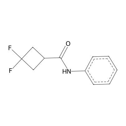 O=C(Nc1ccccc1)C1CC(F)(F)C1